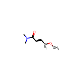 CN(C)C(=O)C=C[SiH2]O[SiH3]